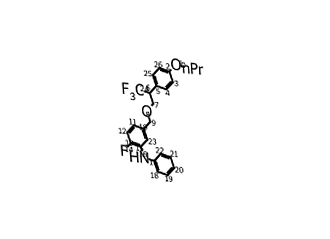 CCCOc1ccc(C(COCc2ccc(F)c(Nc3ccccc3)c2)C(F)(F)F)cc1